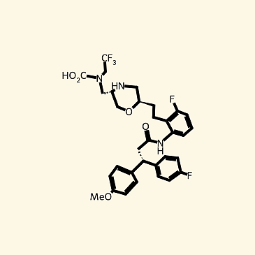 COc1ccc([C@H](CC(=O)Nc2cccc(F)c2CC[C@@H]2CN[C@@H](CN(CC(F)(F)F)C(=O)O)CO2)c2ccc(F)cc2)cc1